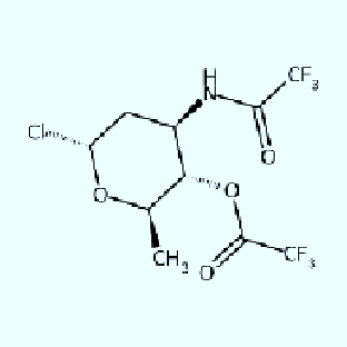 C[C@H]1O[C@H](Cl)C[C@@H](NC(=O)C(F)(F)F)[C@@H]1OC(=O)C(F)(F)F